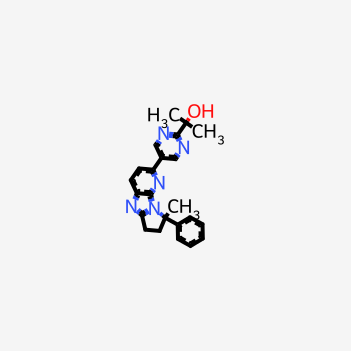 CC(C)(O)c1ncc(-c2ccc3nc4n(c3n2)C(C)(c2ccccc2)CC4)cn1